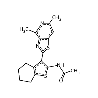 CC(=O)Nc1sc2c(c1-c1nc3c(C)nc(C)cc3s1)CCCC2